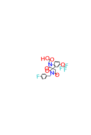 O=C(O)CN1C(=O)C2(CC(=O)N(Cc3ccc(F)cc3)C2=O)c2cc(OC(F)(F)F)ccc21